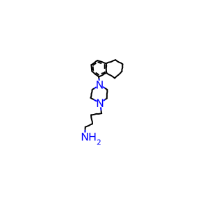 NCCCCN1CCN(c2cccc3c2CCCC3)CC1